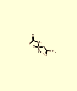 CC(=O)N=S(C)(=O)NC(=O)I